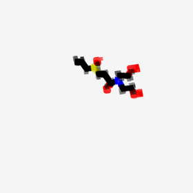 C=CC[S+]([O-])C=CC(=O)N(CCO)CCO